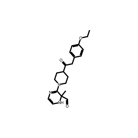 CCOc1ccc(CC(=O)C2CCN(C3=NC=CNC3(C)C=O)CC2)cc1